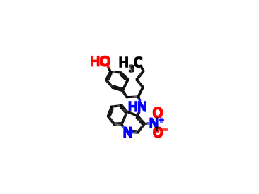 CCCCC(Cc1ccc(O)cc1)Nc1c([N+](=O)[O-])cnc2ccccc12